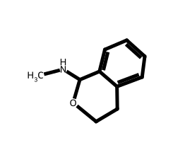 CNC1OCCc2ccccc21